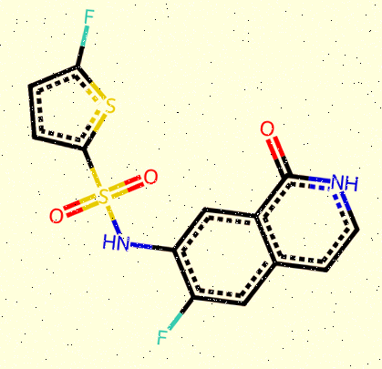 O=c1[nH]ccc2cc(F)c(NS(=O)(=O)c3ccc(F)s3)cc12